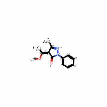 CCO/C(C)=C1\C(=O)N(c2ccccc2)N=C1OC(C)=O